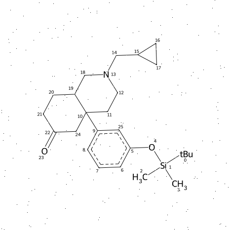 CC(C)(C)[Si](C)(C)Oc1cccc(C23CCN(CC4CC4)CC2CCC(=O)C3)c1